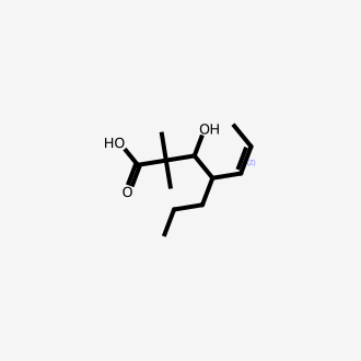 C/C=C\C(CCC)C(O)C(C)(C)C(=O)O